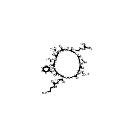 COCCNC(=O)CNC(=O)[C@@H]1CSCC(=O)N[C@@H](CC(=O)O)C(=O)N[C@@H](CS)C(=O)N[C@@H](CCCNC(=N)N)C(=O)NCC(=O)N[C@@H](CC(=O)O)C(=O)N[C@@H](CS)C(=O)N[C@@H](Cc2ccccc2)C(=O)N1